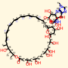 CC1/C=C/C=C/C=C/C=C/C=C/C=C/C=C/[C@H](OC2O[C@H](O)[C@@H](O)[C@H](N)[C@@H]2O)C[C@@H]2O[C@](O)(C[C@@H](O)C[C@@H](O)[C@H](O)CC[C@@H](O)C[C@@H](O)CC(=O)O[C@@H](C)[C@H](C)[C@@H]1O)C[C@H](O)[C@H]2C(=O)NCCc1cn(C)cn1